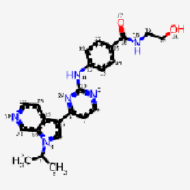 CC(C)n1cc(-c2ccnc(Nc3ccc(C(=O)NCCO)cc3)n2)c2ccncc21